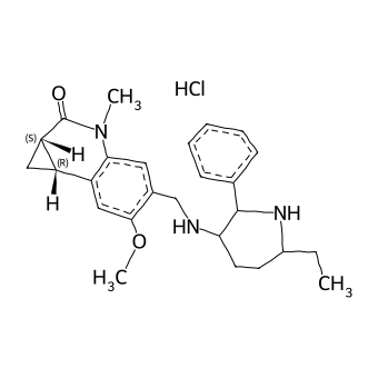 CCC1CCC(NCc2cc3c(cc2OC)[C@@H]2C[C@@H]2C(=O)N3C)C(c2ccccc2)N1.Cl